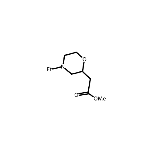 CCN1CCOC(CC(=O)OC)C1